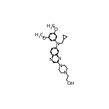 COc1cc(OC)cc(N(CC2CC2)c2ccc3ncc(N4CCN(CCO)CC4)nc3c2)c1